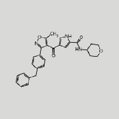 Cc1onc(-c2ccc(Cc3ccccc3)cc2)c1C(=O)c1c[nH]c(C(=O)NC2CCOCC2)c1